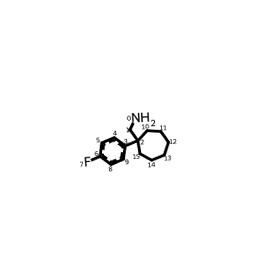 NCC1(c2ccc(F)cc2)CCCCCC1